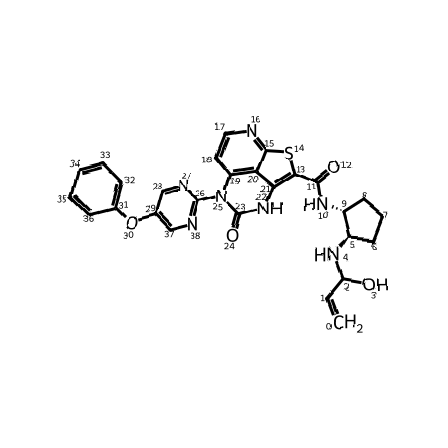 C=CC(O)N[C@@H]1CCC[C@H]1NC(=O)c1sc2nccc3c2c1NC(=O)N3c1ncc(Oc2ccccc2)cn1